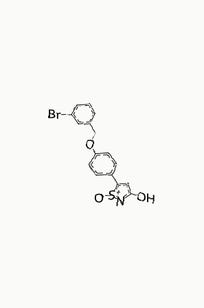 [O-][s+]1nc(O)cc1-c1ccc(OCc2cccc(Br)c2)cc1